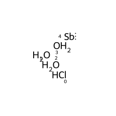 Cl.O.O.O.[Sb]